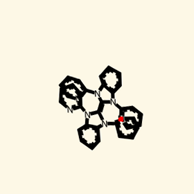 c1ccc(N2C(=C3N(c4ccccn4)c4ccccc4N3c3ccccn3)N(c3ccccn3)c3ccccc32)nc1